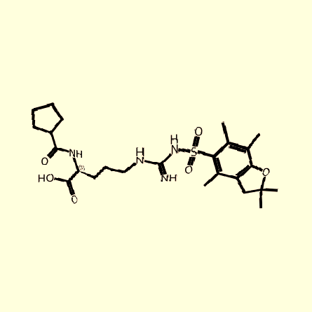 Cc1c(C)c(S(=O)(=O)NC(=N)NCCC[C@H](NC(=O)C2CCCC2)C(=O)O)c(C)c2c1OC(C)(C)C2